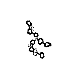 c1ccc(-c2ccc(N(c3cccc(-c4cccc5c4oc4ccccc45)c3)c3ccc4oc5ccc6oc(-c7ccccc7)nc6c5c4c3)cc2)cc1